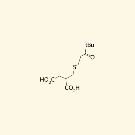 CC(C)(C)C(=O)CCSCC(CC(=O)O)C(=O)O